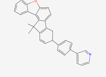 CC1(C)C2=C(CC(c3ccc(-c4cccnc4)cc3)C=C2)c2ccc3oc4ccccc4c3c21